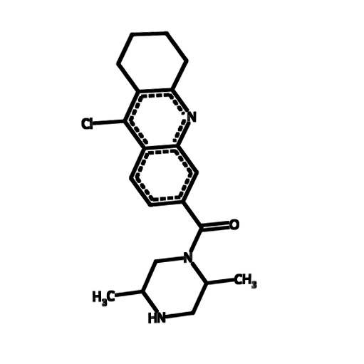 CC1CN(C(=O)c2ccc3c(Cl)c4c(nc3c2)CCCC4)C(C)CN1